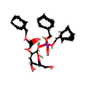 O=C(OCc1ccccc1)OC1CC(O)C(CO)OC1OP(=O)(OCc1ccccc1)OCc1ccccc1